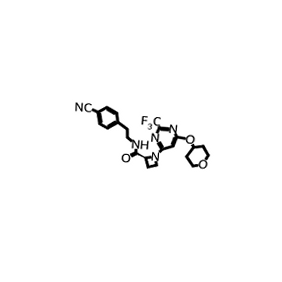 N#Cc1ccc(CCNC(=O)[C@@H]2CCN2c2cc(OC3CCOCC3)nc(C(F)(F)F)n2)cc1